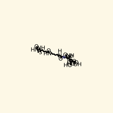 O=C(/C=C/c1cn([C@H]2CC(OP(=O)(O)O)[C@@H](CO)O2)c(=O)[nH]c1=O)NCCCCCCNC(=O)CCCCC1SCC2NC(=O)NC21